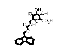 O=C(NC[C@@H]1OC(C(=O)O)[C@H](O)[C@H](O)C1O)OCC1c2ccccc2-c2ccccc21